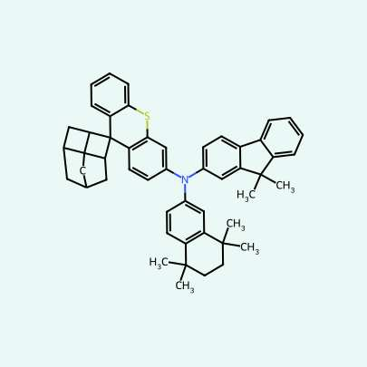 CC1(C)CCC(C)(C)c2cc(N(c3ccc4c(c3)Sc3ccccc3C43C4CC5CC6CC3C64C5)c3ccc4c(c3)C(C)(C)c3ccccc3-4)ccc21